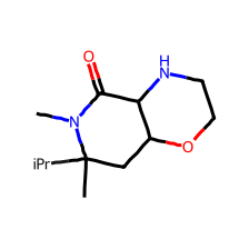 CC(C)C1(C)CC2OCCNC2C(=O)N1C